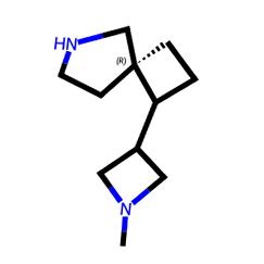 CN1CC(C2CC[C@@]23CCNC3)C1